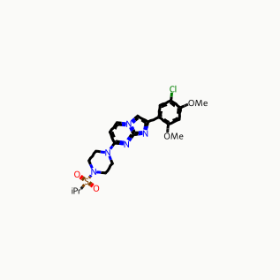 COc1cc(OC)c(-c2cn3ccc(N4CCN(S(=O)(=O)C(C)C)CC4)nc3n2)cc1Cl